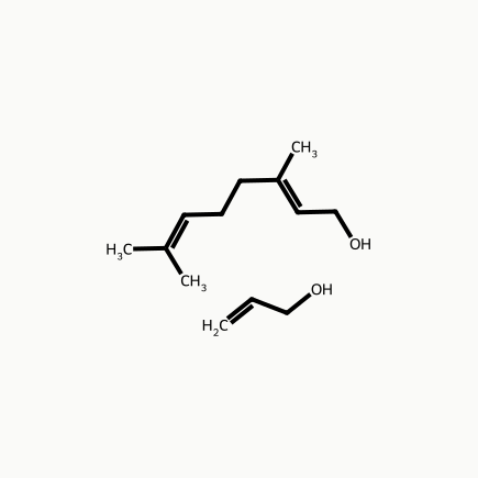 C=CCO.CC(C)=CCCC(C)=CCO